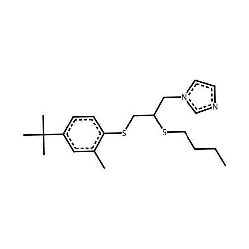 CCCCSC(CSc1ccc(C(C)(C)C)cc1C)Cn1ccnc1